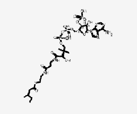 CCC(C)=CC(=O)SCCNC(=O)CCNC(=O)C(O)C(C)(C)COP(=O)(O)OP(=O)(O)OC[C@H]1O[C@@H](n2cnc3c(N)ncnc32)[C@H](O)[C@@H]1OP(=O)(O)O